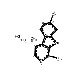 Cc1nccc2c1[nH]c1cc(O)ccc12.Cl.O.O